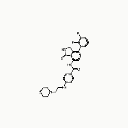 O=C(Nc1ccc(-c2cccc(F)c2F)c2c1C(=O)NC2)c1ccc(NCCN2CCOCC2)cc1